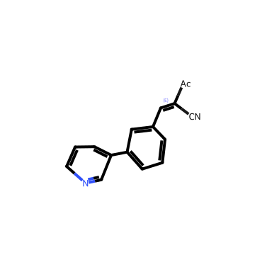 CC(=O)/C(C#N)=C/c1cccc(-c2cccnc2)c1